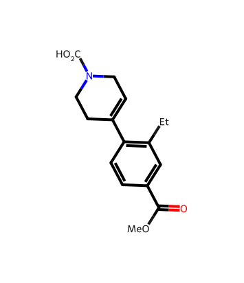 CCc1cc(C(=O)OC)ccc1C1=CCN(C(=O)O)CC1